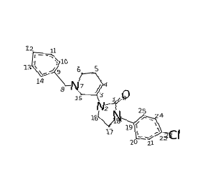 O=C1N(C2=CCCN(Cc3ccccc3)C2)CCN1c1ccc(Cl)cc1